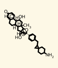 C[C@]12C=CC(=O)C=C1CC[C@@H]1[C@@H]2[C@@H](O)C[C@@]2(C)[C@H]1C[C@H]1O[C@@H](c3ccc(CC4CC45CCC(N)CC5)cc3)O[C@]12C(=O)CO